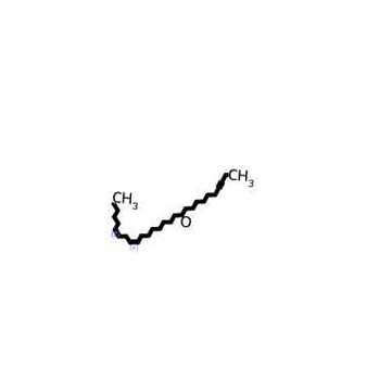 CCC#CCCCCCCC(=O)CCCCCCC/C=C\C/C=C\CCCCC